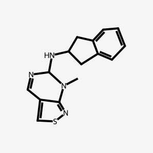 CN1c2nscc2C=NC1NC1Cc2ccccc2C1